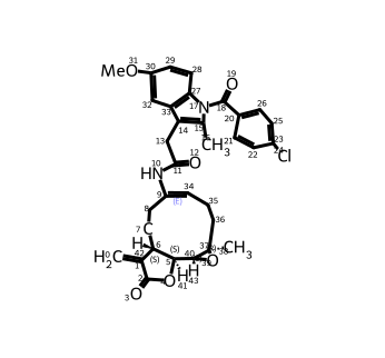 C=C1C(=O)O[C@H]2[C@H]1CC/C(NC(=O)Cc1c(C)n(C(=O)c3ccc(Cl)cc3)c3ccc(OC)cc13)=C\CC[C@@]1(C)O[C@@H]21